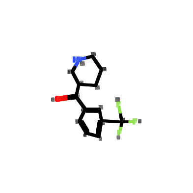 O=C(c1cccc(C(F)(F)F)c1)C1CCCNC1